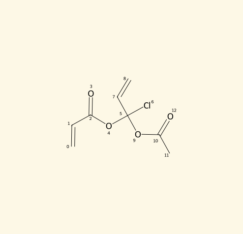 C=CC(=O)OC(Cl)(C=C)OC(C)=O